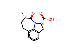 C[C@H]1CCc2cccc3c2N(C1=O)[C@H](C(=O)O)C3